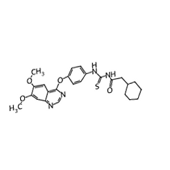 COc1cc2ncnc(Oc3ccc(NC(=S)NC(=O)CC4CCCCC4)cc3)c2cc1OC